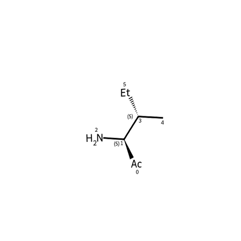 [CH2]C(=O)[C@@H](N)[C@@H](C)CC